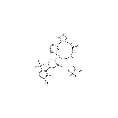 C[C@H]1C(=O)Nc2cnn(C)c2-c2ccnc(c2)[C@@H](N2CCC(c3c(C(F)(F)F)ccc(Cl)c3F)=CC2=O)CCC1F.O=C(O)C(F)(F)F